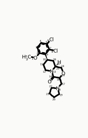 COc1ccc(Cl)c(Cl)c1[C@@H]1CCN2C(=O)C(CN3CCCC3)OC[C@@H]2C1